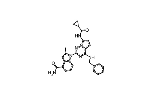 Cc1cc2c(C(N)=O)cccc2n1-c1nc(NCc2ccccc2)c2ccc(NC(=O)C3CC3)n2n1